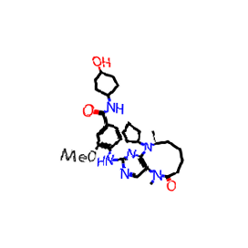 COc1cc(C(=O)NC2CCC(O)CC2)ccc1Nc1ncc2c(n1)N(C1CCCC1)[C@@H](C)CCCCC(=O)N2C